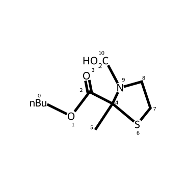 CCCCOC(=O)C1(C)SCCN1C(=O)O